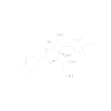 Cc1cc(C2O[C@H]([C@H](O)CO)[C@@]3(O)C(c4cc(C)c(C)c(C)c4)C(O)[C@@H]3O2)cc(C)c1C